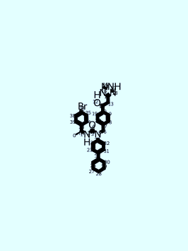 C[C@H](NC(=O)N(Cc1ccc([C@@H](O)Cc2nn[nH]n2)cc1)c1ccc(C2=CCCCC2)cc1)c1ccc(Br)cc1